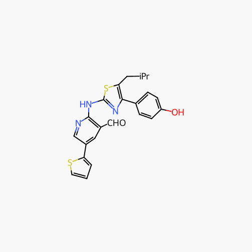 CC(C)Cc1sc(Nc2ncc(-c3cccs3)cc2C=O)nc1-c1ccc(O)cc1